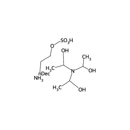 CC(O)N(C(C)O)C(C)O.CCCCCCCCCCCCOS(=O)(=O)O.N